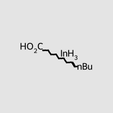 CCCCC=CCCCCCCCC(=O)O.[InH3]